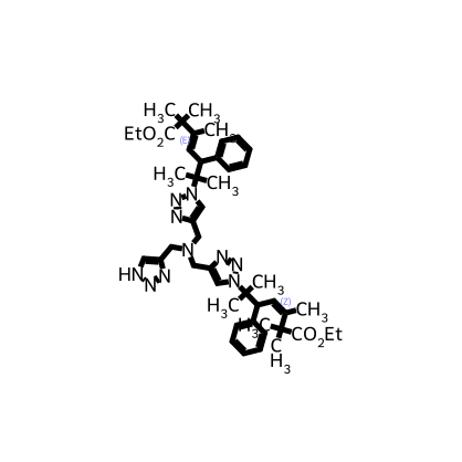 CCOC(=O)C(C)(C)/C(C)=C\C(c1ccccc1)C(C)(C)n1cc(CN(Cc2c[nH]nn2)Cc2cn(C(C)(C)C(/C=C(\C)C(C)(C)C(=O)OCC)c3ccccc3)nn2)nn1